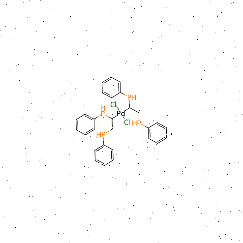 [Cl][Pd]([Cl])([CH](CPc1ccccc1)Pc1ccccc1)[CH](CPc1ccccc1)Pc1ccccc1